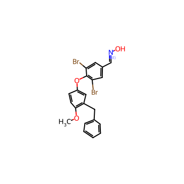 COc1ccc(Oc2c(Br)cc(/C=N/O)cc2Br)cc1Cc1ccccc1